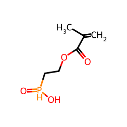 C=C(C)C(=O)OCC[PH](=O)O